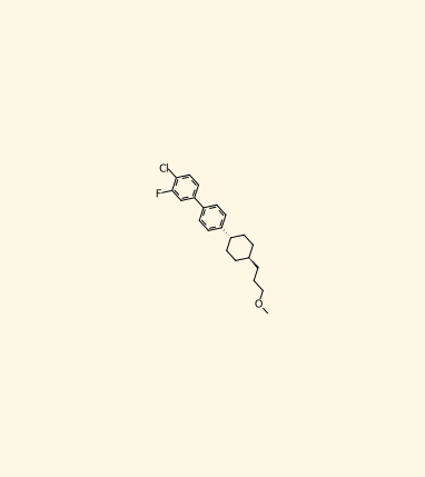 COCCC[C@H]1CC[C@H](c2ccc(-c3ccc(Cl)c(F)c3)cc2)CC1